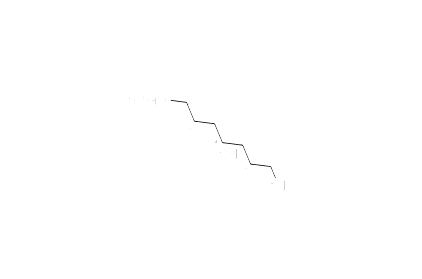 CCCCCCCCCCCCS.[SbH3]